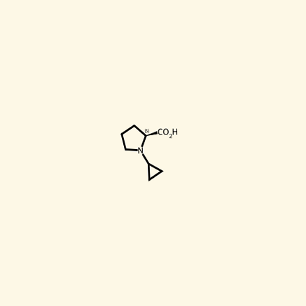 O=C(O)[C@@H]1CCCN1C1CC1